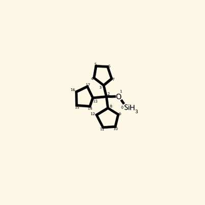 [SiH3]OC(C1CCCC1)(C1CCCC1)C1CCCC1